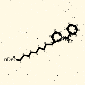 CCCCCCCCCCCCCCCCCCCc1ccc[n+](C(CC)c2ccccc2)c1